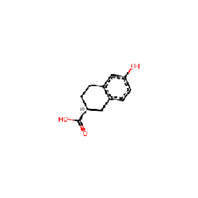 O=C(O)[C@H]1CCc2cc(O)ccc2C1